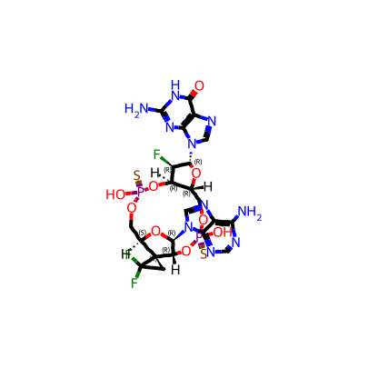 Nc1nc2c(ncn2[C@@H]2O[C@@H]3COP(O)(=S)O[C@H]4[C@H](n5cnc6c(N)ncnc65)O[C@H](COP(O)(=S)O[C@H]3[C@H]2F)[C@]42CC2(F)F)c(=O)[nH]1